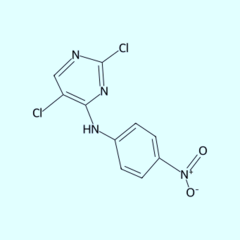 O=[N+]([O-])c1ccc(Nc2nc(Cl)ncc2Cl)cc1